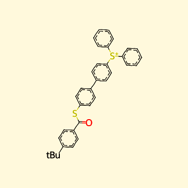 CC(C)(C)c1ccc(C(=O)Sc2ccc(-c3ccc([S+](c4ccccc4)c4ccccc4)cc3)cc2)cc1